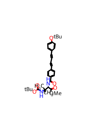 COC(=O)[C@@H](NC(=O)c1ccc(C#CC#Cc2ccc(OC(C)(C)C)cc2)cc1)C(C)(C)NC(=O)OC(C)(C)C